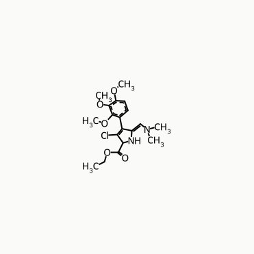 CCOC(=O)C1NC(=CN(C)C)C(c2ccc(OC)c(OC)c2OC)=C1Cl